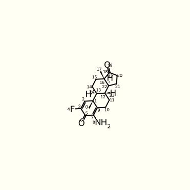 C[C@]12C=C(F)C(=O)C(N)=C1CC[C@@H]1[C@@H]2CC[C@]2(C)C(=O)CC[C@@H]12